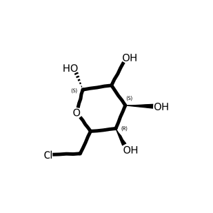 OC1[C@@H](O)[C@@H](O)C(CCl)O[C@@H]1O